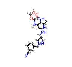 COC(C)OC1C(=O)Nc2c(cc(NCc3cnn(Cc4cccc(C#N)c4)c3)nc2C)N1C